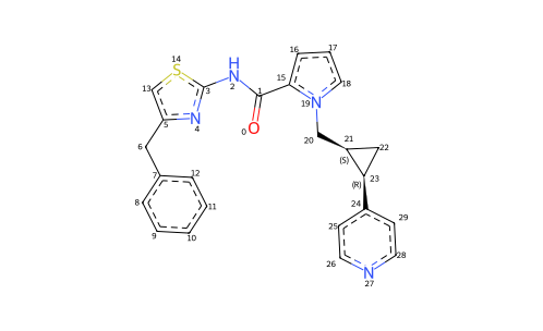 O=C(Nc1nc(Cc2ccccc2)cs1)c1cccn1C[C@H]1C[C@H]1c1ccncc1